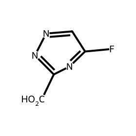 O=C(O)c1nncc(F)n1